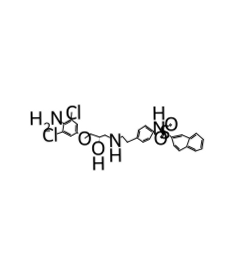 Nc1c(Cl)cc(OC[C@@H](O)CNCCc2ccc(NS(=O)(=O)c3ccc4ccccc4c3)cc2)cc1Cl